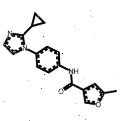 Cc1cc(C(=O)Nc2ccc(-n3ccnc3C3CC3)cc2)co1